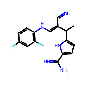 CC(/C(C=N)=C/Nc1ccc(F)cc1F)c1ccc(C(=N)N)[nH]1